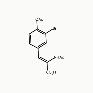 CC(=O)N/C(=C\c1ccc(OC(C)=O)c(Br)c1)C(=O)O